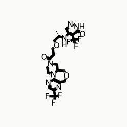 C[C@@H](COCCC(=O)N1CCN2c3ncc(C(F)(F)F)nc3COCC2C1)Nc1cn[nH]c(=O)c1C(F)(F)F